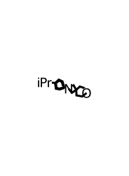 CC(C)c1ccc(N2CC3(CCOCC3)C2)cc1